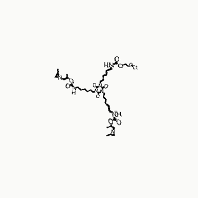 CCOCCOC(=O)NCCCCCCn1c(=O)n(CCCCCCNC(=O)OC(C)CN2CC2C)c(=O)n(CCCCCCNC(=O)OC(C)CN2CC2C)c1=O